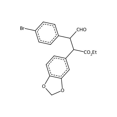 CCOC(=O)C(c1ccc2c(c1)OCO2)C(C=O)c1ccc(Br)cc1